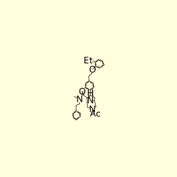 CCc1ccccc1OCCc1ccc(C2=C(C(=O)N(C)CCc3ccccc3)C3CN(C(C)=O)CC(C2)N3)cc1